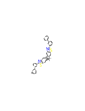 C[Si]1(C)c2cc3sc(-c4cccc(-c5ccccc5)c4)nc3cc2-c2cc3nc(-c4cccc(-c5ccccc5)c4)sc3cc21